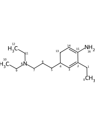 CCC1=CC(CCCN(CC)CC)CC=C1N